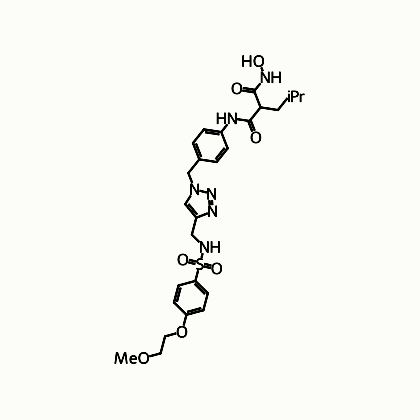 COCCOc1ccc(S(=O)(=O)NCc2cn(Cc3ccc(NC(=O)C(CC(C)C)C(=O)NO)cc3)nn2)cc1